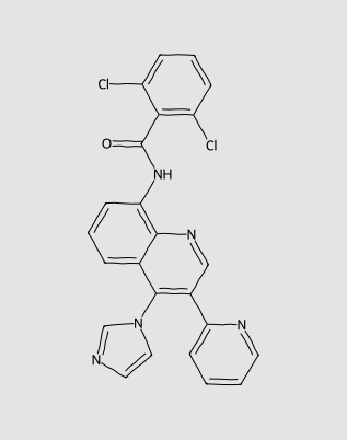 O=C(Nc1cccc2c(-n3ccnc3)c(-c3ccccn3)cnc12)c1c(Cl)cccc1Cl